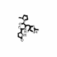 CC1CCCN1C(=O)C(Cc1nc(I)[nH]c1I)NC(=O)C1CCC(=O)N1